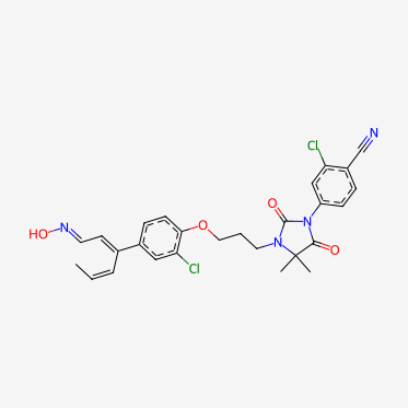 C\C=C/C(=C\C=N\O)c1ccc(OCCCN2C(=O)N(c3ccc(C#N)c(Cl)c3)C(=O)C2(C)C)c(Cl)c1